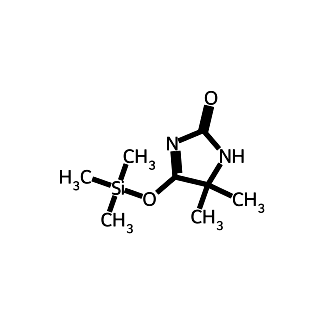 CC1(C)NC(=O)N=C1O[Si](C)(C)C